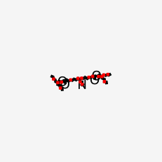 CCCCCC(CCCCC)CCOC(=O)CCCCCCCC(CCCCCCCC(=O)OCCC(CCCCC)CCCCC)CCN(C)C